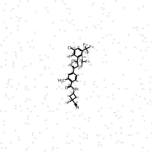 Cc1cc(C2=NO[C@](c3cc(C(F)(F)F)cc(Cl)c3F)(C(F)(F)F)C2)ccc1C(=O)NC1CC(F)(C#N)C1